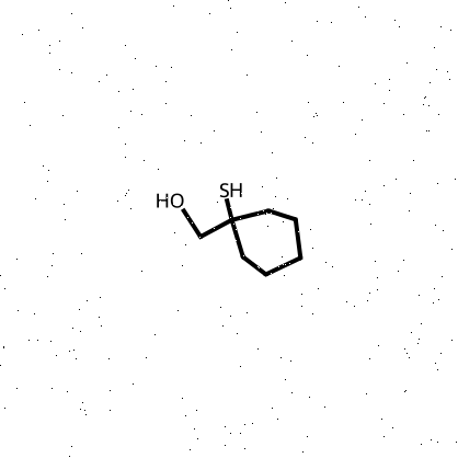 OCC1(S)CCCCC1